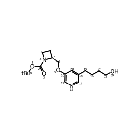 CC(C)(C)OC(=O)N1CC[C@H]1COc1cncc(CCCCO)c1